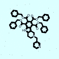 O=C(OCc1ccccc1)c1c(C(=O)OCc2ccccc2)c(C(=O)OCc2ccccc2)c2c3c([nH]c2c1C(=O)OCc1ccccc1)CCN(Cc1cccnc1)C3